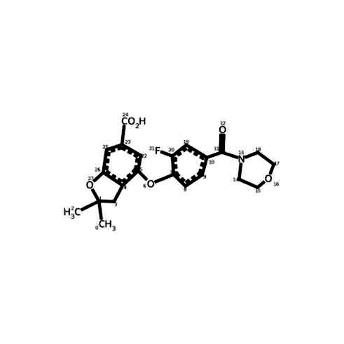 CC1(C)Cc2c(Oc3ccc(C(=O)N4CCOCC4)cc3F)cc(C(=O)O)cc2O1